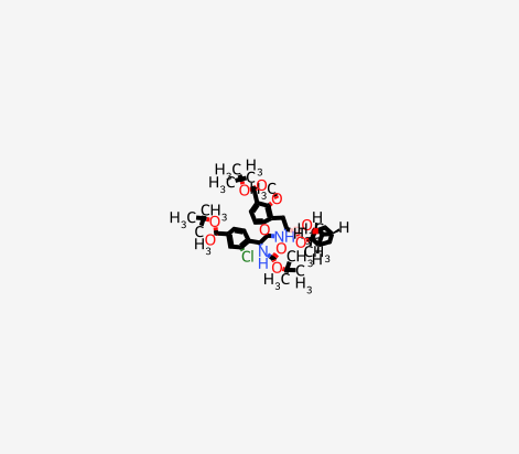 COc1c(CC(NC(=O)C(NC(=O)OC(C)(C)C)c2ccc(C(=O)OC(C)(C)C)cc2Cl)B2O[C@@H]3C[C@@H]4C[C@@H](C4(C)C)[C@]3(C)O2)cccc1C(=O)OC(C)(C)C